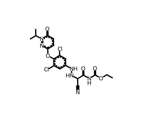 CCOC(=O)NC(=O)C(C#N)NNc1cc(Cl)c(Oc2ccc(=O)n(C(C)C)n2)c(Cl)c1